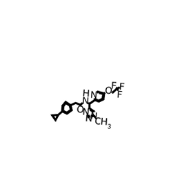 Cn1cc(C(NC(=O)Cc2ccc(C3CC3)cc2)c2ccc(OCC(F)(F)F)cn2)nn1